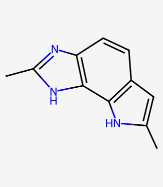 Cc1cc2ccc3nc(C)[nH]c3c2[nH]1